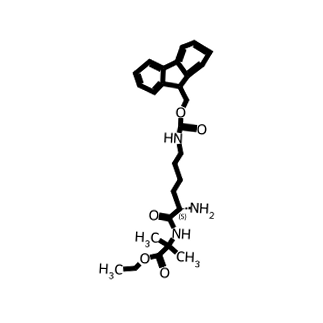 CCOC(=O)C(C)(C)NC(=O)[C@@H](N)CCCCNC(=O)OCC1c2ccccc2-c2ccccc21